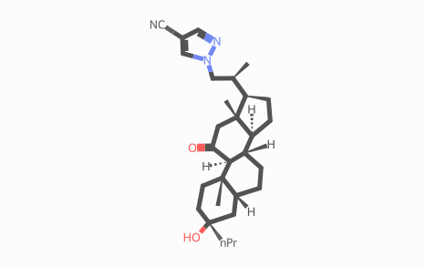 CCC[C@@]1(O)CC[C@@]2(C)[C@H](CC[C@H]3[C@@H]4CC[C@H]([C@H](C)Cn5cc(C#N)cn5)[C@@]4(C)CC(=O)[C@@H]32)C1